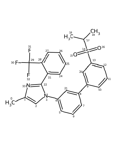 Cc1cn(-c2cccc(-c3cccc(S(=O)(=O)C(C)C)c3)c2)c(-c2ccccc2C(F)(F)F)n1